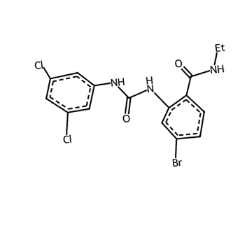 CCNC(=O)c1ccc(Br)cc1NC(=O)Nc1cc(Cl)cc(Cl)c1